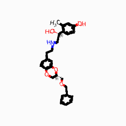 Cc1cc(O)ccc1[C@@H](O)CNCCc1ccc2c(c1)O[C@H](COCc1ccccc1)CO2